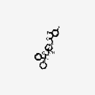 C[C@@](C(=O)O[C@H]1C[N+]2(CC(=O)c3ccc(F)cc3F)CCC1CC2)(c1ccccc1)N1CCCCC1